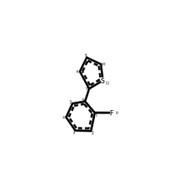 Fc1[c]cc[c]c1-c1cccs1